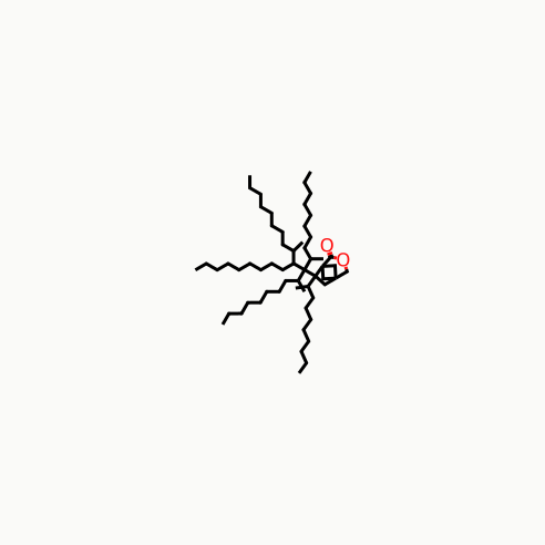 CCCCCCCCCC(C(C)CCCCCCCC)C(C(C)CCCCCCCC)(C(C)CCCCCCCC)C1(C(C)CCCCCCCC)CC23COC(=O)C1(C2)C3